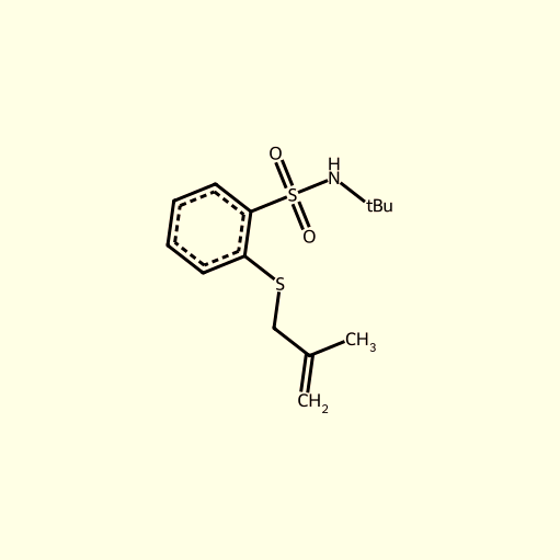 C=C(C)CSc1ccccc1S(=O)(=O)NC(C)(C)C